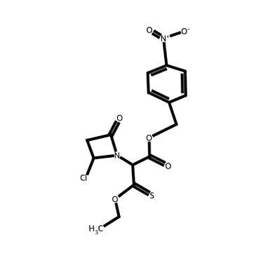 CCOC(=S)C(C(=O)OCc1ccc([N+](=O)[O-])cc1)N1C(=O)CC1Cl